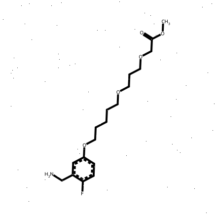 COC(=O)COCCCOCCCCCOc1ccc(F)c(CN)c1